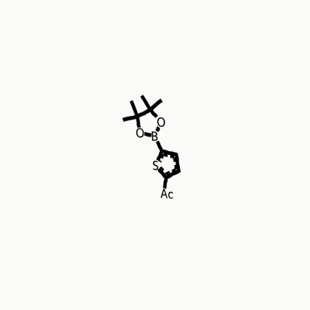 CC(=O)c1ccc(B2OC(C)(C)C(C)(C)O2)s1